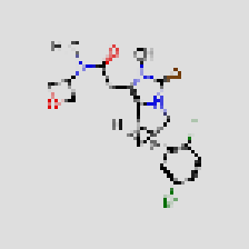 CN(C(=O)Cc1c2n(c(=S)n1C)C[C@@]1(c3cc(Br)ccc3F)C[C@@H]21)C1COC1